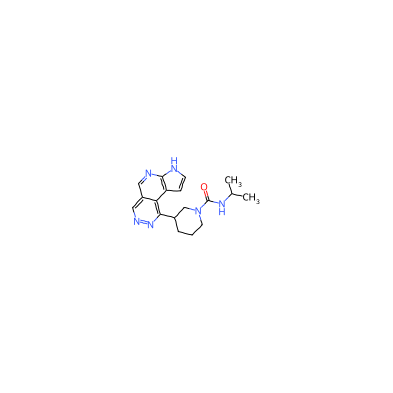 CC(C)NC(=O)N1CCCC(c2nncc3cnc4[nH]ccc4c23)C1